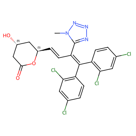 Cn1nnnc1C(C=C[C@@H]1C[C@@H](O)CC(=O)O1)=C(c1ccc(Cl)cc1Cl)c1ccc(Cl)cc1Cl